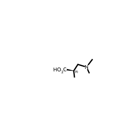 C[C@H](CN(C)C)C(=O)O